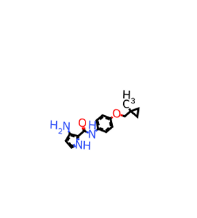 CC1(COc2ccc(NC(=O)c3[nH]ccc3N)cc2)CC1